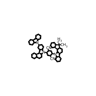 CC1(C)c2ccccc2-c2c1ccc1c3ccccc3n(-c3cc(C#N)c(-n4c5ccc(-n6c7ccccc7c7ccccc76)cc5c5c6ccccc6ccc54)cc3C#N)c21